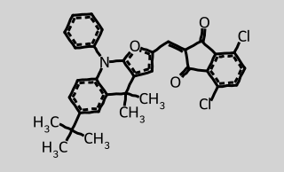 CC(C)(C)c1ccc2c(c1)C(C)(C)c1cc(C=C3C(=O)c4c(Cl)ccc(Cl)c4C3=O)oc1N2c1ccccc1